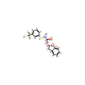 CN(Sc1cccc(C(F)(F)F)c1)C(=O)OC1Cc2ccccc2O1